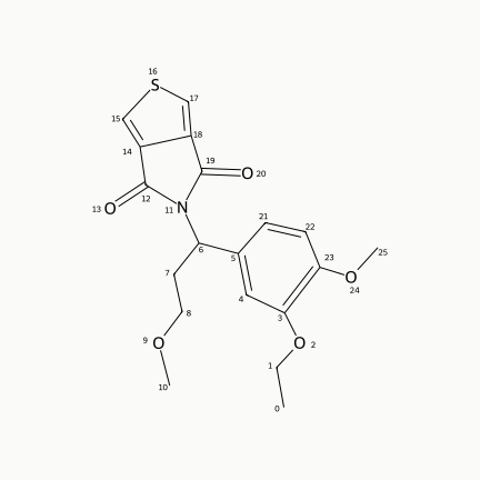 CCOc1cc(C(CCOC)N2C(=O)c3cscc3C2=O)ccc1OC